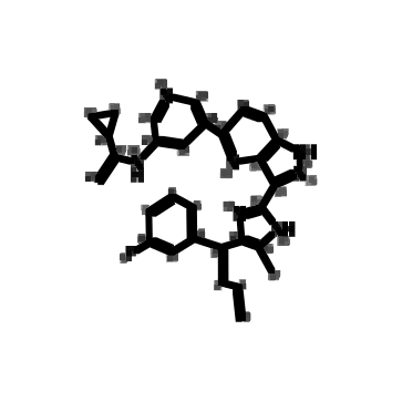 C=C/C=C(/c1cccc(F)c1)c1nc(-c2n[nH]c3ccc(-c4cncc(NC(=C)C5CC5)c4)nc23)[nH]c1C